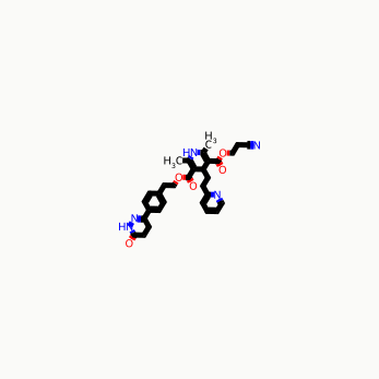 CC1=C(C(=O)OCCC#N)C(CCc2ccccn2)C(C(=O)OCCc2ccc(C3=NNC(=O)CC3)cc2)=C(C)N1